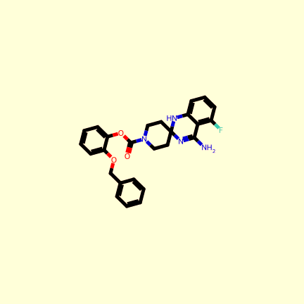 NC1=NC2(CCN(C(=O)Oc3ccccc3OCc3ccccc3)CC2)Nc2cccc(F)c21